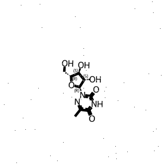 Cc1nn([C@@H]2O[C@H](CO)[C@@H](O)[C@@H]2O)c(=O)[nH]c1=O